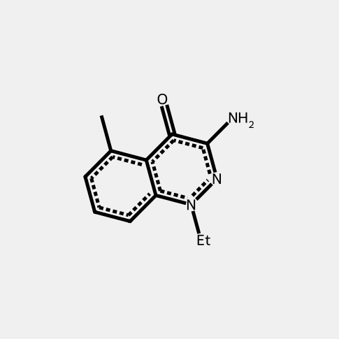 CCn1nc(N)c(=O)c2c(C)cccc21